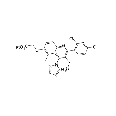 CCOC(=O)COc1ccc2nc(-c3ccc(Cl)cc3Cl)c(CN)c(-n3cncn3)c2c1C